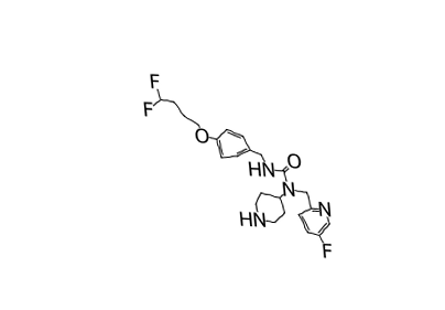 O=C(NCc1ccc(OCCCC(F)F)cc1)N(Cc1ccc(F)cn1)C1CCNCC1